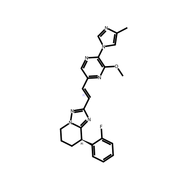 COc1nc(/C=C/c2nc3n(n2)CCC[C@@H]3c2ccccc2F)cnc1-n1cnc(C)c1